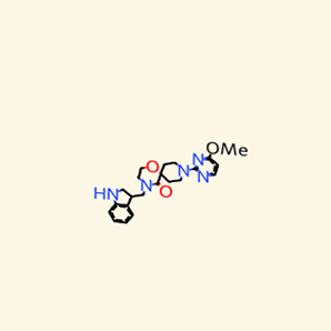 COc1ccnc(N2CCC3(CC2)OCCN(CC2CNc4ccccc42)C3=O)n1